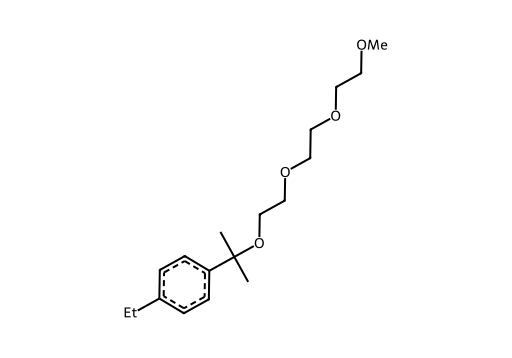 CCc1ccc(C(C)(C)OCCOCCOCCOC)cc1